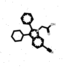 N#Cc1ccc2c(C3CCCCC3)c(-c3ccccc3)n(CC(=O)O)c2c1